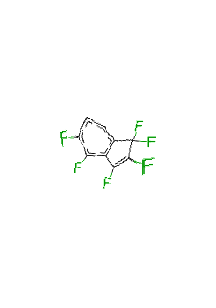 FC1=C(F)C(F)(F)c2ccc(F)c(F)c21